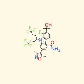 Cc1noc(C)c1-c1cc(C(N)=O)c2c3ccc(C(C)(C)O)c(F)c3n(C(CCC(F)(F)F)CCC(F)(F)F)c2c1